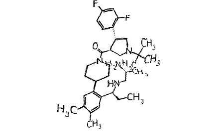 CC[C@H](NC[C@H](C)N)c1cc(C)c(C)cc1C1CCN(C(=O)[C@@H]2CN(C(C)(C)C)C[C@H]2c2ccc(F)cc2F)CC1